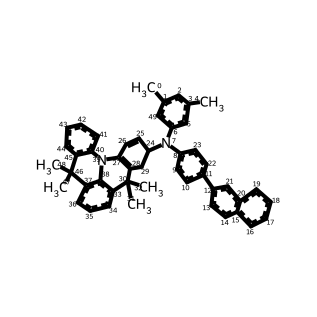 Cc1cc(C)cc(N(c2ccc(-c3ccc4ccccc4c3)cc2)C2C=CC3=C(C2)C(C)(C)c2cccc4c2N3c2ccccc2C4(C)C)c1